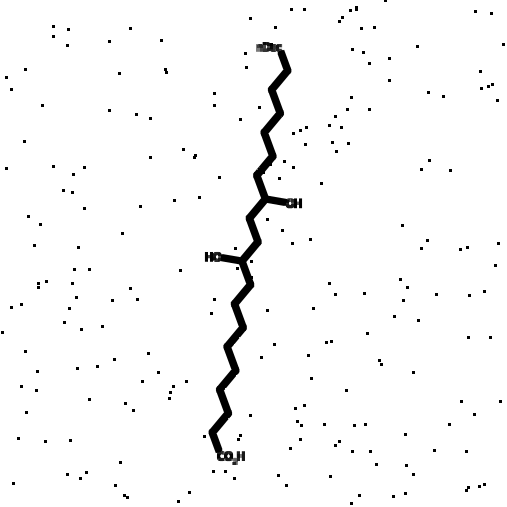 CCCCCCCCCCCCCCCCC(O)CCC(O)CCCCCCCCC(=O)O